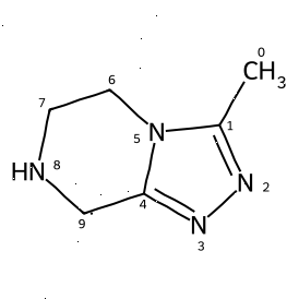 Cc1nnc2n1CCN[CH]2